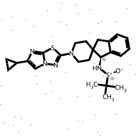 CC(C)(C)[S@@+]([O-])N[C@@H]1c2ccccc2CC12CCN(c1nn3cc(C4CC4)nc3s1)CC2